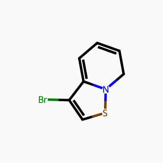 BrC1=CSN2CC=CC=C12